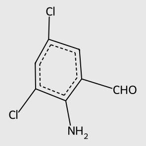 Nc1c(Cl)cc(Cl)cc1C=O